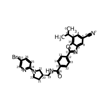 CC(C)c1cc(C#N)cc2nc(-c3ccc(C(=O)NC[C@H]4CCN(c5ccc(Br)cn5)C4)cc3)oc12